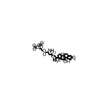 C[C@]12C=CC(=O)C=C1CC[C@@H]1[C@@H]2[C@@H](O)C[C@@]2(C)[C@H]1CC[C@]2(O)C(=O)COC(=O)CC(N)C(=O)OCC(CO[N+](=O)[O-])O[N+](=O)[O-]